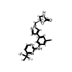 Cc1cc(Nc2nccc(C(C)(F)F)n2)cc(-c2cnn(C[C@H]3CNC(=O)O3)c2)c1